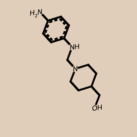 Nc1ccc(NCN2CCC(CO)CC2)cc1